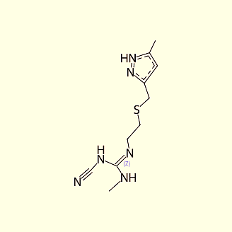 CN/C(=N/CCSCc1cc(C)[nH]n1)NC#N